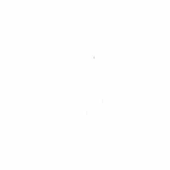 CC(C)n1cccc(NC(O)OCc2ccccc2)c1=O